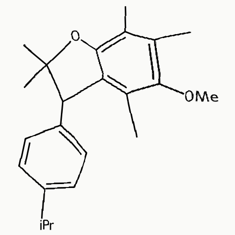 COc1c(C)c(C)c2c(c1C)C(c1ccc(C(C)C)cc1)C(C)(C)O2